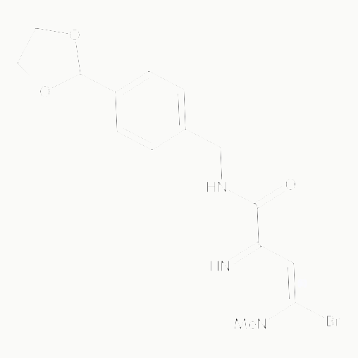 CN/C(Br)=C\C(=N)C(=O)NCc1ccc(C2OCCO2)cc1